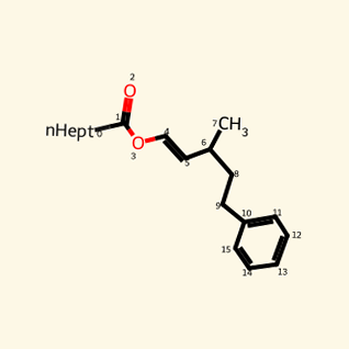 CCCCCCCC(=O)O/C=C/C(C)CCc1ccccc1